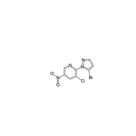 O=[N+]([O-])c1cnc(-n2nccc2Br)c(Cl)c1